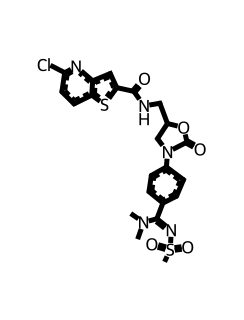 CN(C)C(=NS(C)(=O)=O)c1ccc(N2CC(CNC(=O)c3cc4nc(Cl)ccc4s3)OC2=O)cc1